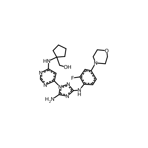 Nc1nc(Nc2ccc(N3CCOCC3)cc2F)nn1-c1cc(NC2(CO)CCCC2)ncn1